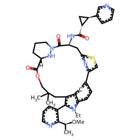 CCn1c(-c2cccnc2[C@H](C)OC)c2c3cc(ccc31)-c1csc(n1)C[C@H](NC(=O)[C@@H]1C[C@H]1c1cccnc1)C(=O)N1CCC[C@H](N1)C(=O)OCC(C)(C)C2